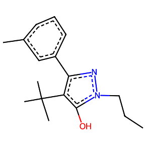 CCCn1nc(-c2cccc(C)c2)c(C(C)(C)C)c1O